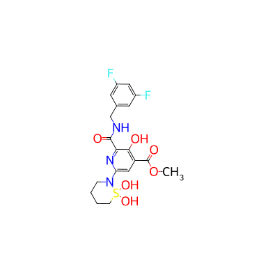 COC(=O)c1cc(N2CCCCS2(O)O)nc(C(=O)NCc2cc(F)cc(F)c2)c1O